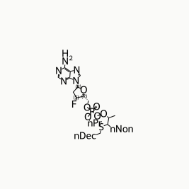 CCCCCCCCCCCSC(CCCCCCCCC)C(C)OOP(=O)(OCCC)OC[C@H]1O[C@@H](n2cnc3c(N)ncnc32)C[C@@H]1F